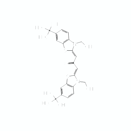 CCN1/C(=C/C(=O)/C=C2\Sc3cc(C(C)(C)C)ccc3N2CC)Sc2cc(C(C)(C)C)ccc21